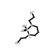 O=P1(Cl)N(CCCl)CCCN1CCCl